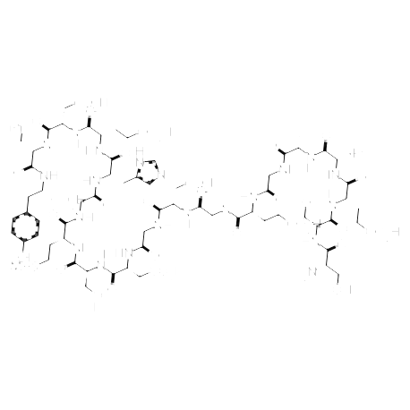 CSCC[C@H](NC(=O)[C@H](CO)NC(=O)[C@H](CC(=O)O)NC(=O)CNC(=O)[C@H](CC(=O)O)NC(=O)CNC(=O)[C@H](CCC(=O)O)NC(=O)CNC(=O)[C@H](C)NC(=O)[C@@H](NC(=O)[C@H](CCC(=O)O)NC(=O)[C@H](CO)NC(=O)[C@@H](N)CO)C(C)C)C(=O)NCC(=O)N[C@@H](Cc1cnc[nH]1)C(=O)N[C@@H](CCC(=O)O)C(=O)N[C@@H](CC(=O)O)C(=O)N[C@@H](CC(C)C)C(=O)N[C@@H](Cc1ccc(O)cc1)C(=O)O